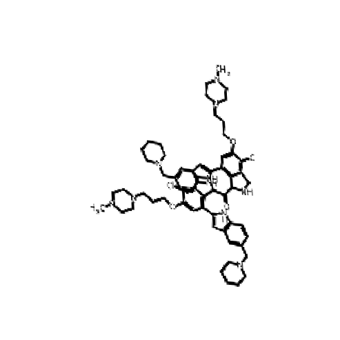 CN1CCN(CCCOc2cc(-c3cc4cc(CN5CCCCC5)ccc4[nH]3)c3c(c2Cl)CNC3C(=O)C2NCc3c(Cl)c(OCCCN4CCN(C)CC4)cc(-c4cc5cc(CN6CCCCC6)ccc5[nH]4)c32)CC1